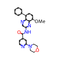 COc1ccc(-c2ccccc2)c2ncc(NC(=O)c3ccnc(N4CCOCC4)c3)nc12